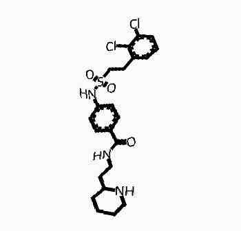 O=C(NCCC1CCCCN1)c1ccc(NS(=O)(=O)CCc2cccc(Cl)c2Cl)cc1